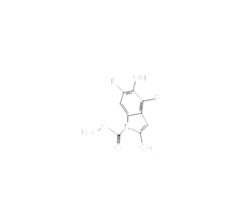 COC(=O)n1c(C)cc2c(F)c(O)c(F)cc21